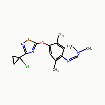 Cc1cc(Oc2nc(C3(Cl)CC3)ns2)c(C)cc1/N=C\N(C)C